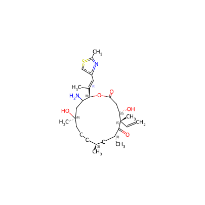 C=C[C@]1(C)C(=O)[C@H](C)C[C@@H](C)CCC[C@@](C)(O)CC(N)[C@@H](/C(C)=C/c2csc(C)n2)OC(=O)C[C@@H]1O